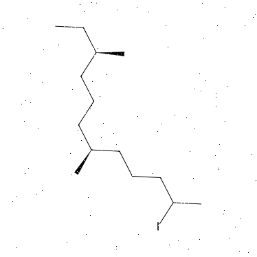 CC[C@@H](C)CCC[C@H](C)CCCC(C)I